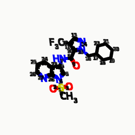 CS(=O)(=O)n1cc(NC(=O)c2c(C(F)(F)F)cnn2CC2CCCCC2)c2cccnc21